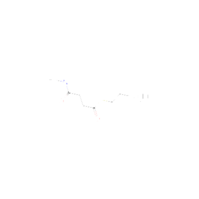 CCNC(=O)CCC(=O)SCCC(=O)OCC